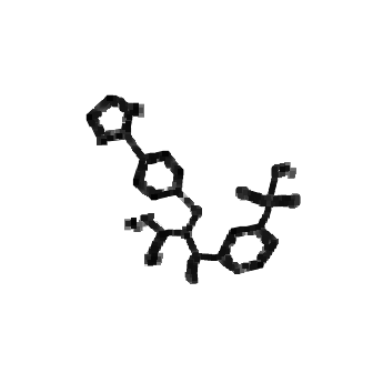 CS(=O)(=O)c1cccc(C(=O)N(Oc2ccc(-c3ncc[nH]3)cc2)C(=N)N)c1